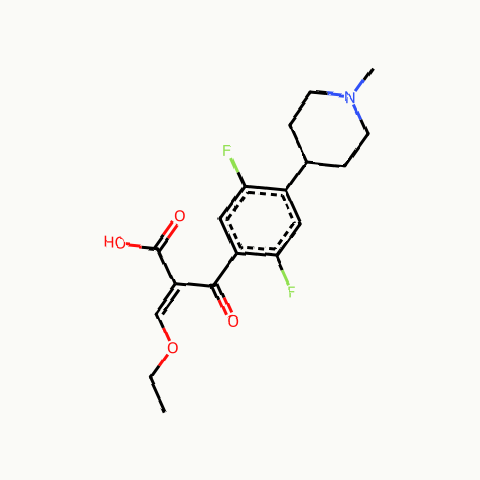 CCO/C=C(/C(=O)O)C(=O)c1cc(F)c(C2CCN(C)CC2)cc1F